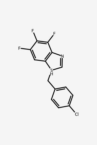 Fc1cc2c(c(F)c1F)N=C[SH]2Cc1ccc(Cl)cc1